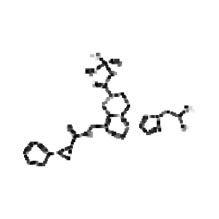 CC(C)Cn1cc(-c2ccc(CNC(=O)C3C[C@H]3c3ccccc3)c3c2CCN(C(=O)NC(C)(C)C)C3)cn1